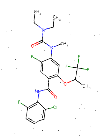 CCN(CC)C(=O)N(C)c1cc(OC(C)C(F)(F)F)c(C(=O)Nc2c(F)cccc2Cl)cc1F